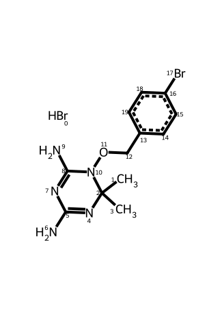 Br.CC1(C)N=C(N)N=C(N)N1OCc1ccc(Br)cc1